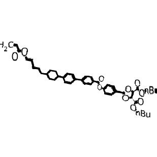 C=CC(=O)OCCCCCC1CCC(c2ccc(-c3ccc(C(=O)Oc4ccc(C5O[C@@H](C(=O)OCCCC)[C@H](C(=O)OCCCC)O5)cc4)cc3)cc2)CC1